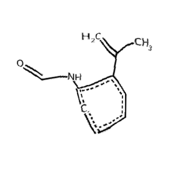 C=C(C)c1ccccc1NC=O